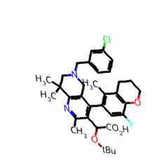 Cc1nc2c(c(-c3cc(F)c4c(c3C)CCCO4)c1C(OC(C)(C)C)C(=O)O)CN(Cc1cccc(Cl)c1)CC2(C)C